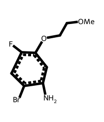 COCCOc1cc(N)c(Br)cc1F